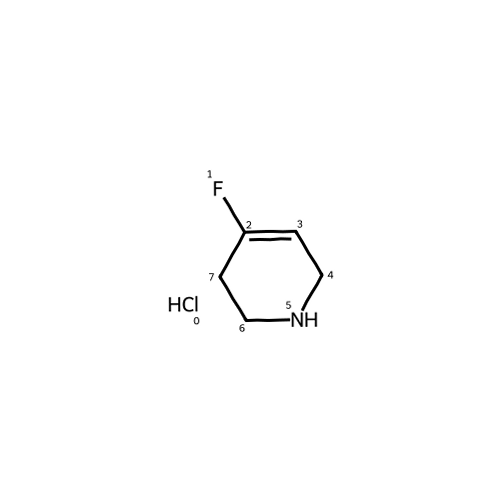 Cl.FC1=CCNCC1